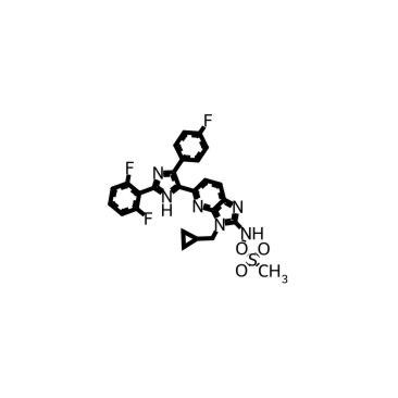 CS(=O)(=O)ONc1nc2ccc(-c3[nH]c(-c4c(F)cccc4F)nc3-c3ccc(F)cc3)nc2n1CC1CC1